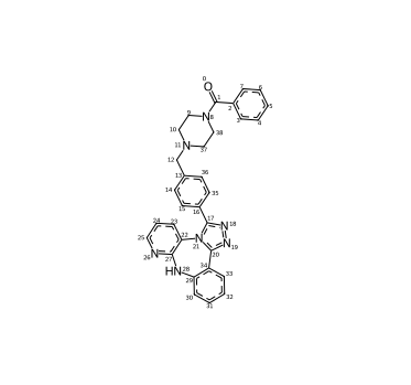 O=C(c1ccccc1)N1CCN(Cc2ccc(-c3nnc4n3-c3cccnc3Nc3ccccc3-4)cc2)CC1